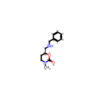 CN1CC[C@@H](CNCc2ccccc2)OC1=O